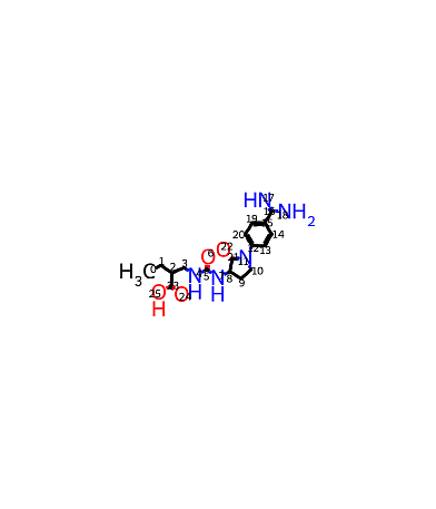 CCC(CNC(=O)NC1CCN(c2ccc(C(=N)N)cc2)C1=O)C(=O)O